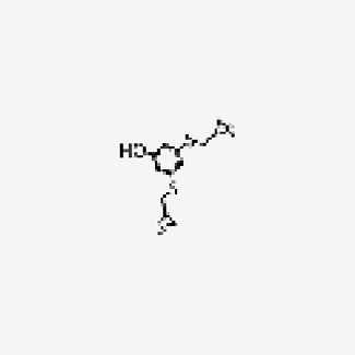 Oc1cc(SCC2CS2)cc(SCC2CS2)c1